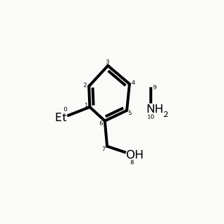 CCc1ccccc1CO.CN